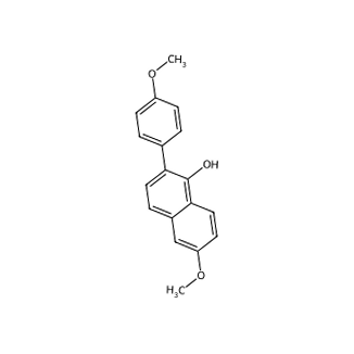 COc1ccc(-c2ccc3cc(OC)ccc3c2O)cc1